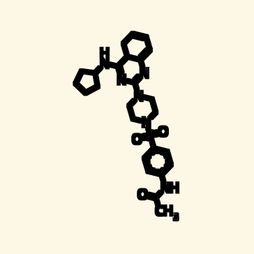 CC(=O)Nc1ccc(S(=O)(=O)N2CCN(C3=NC4=CC=CCC4C(NC4CCCC4)=N3)CC2)cc1